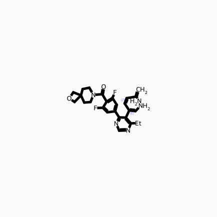 C=C(N)/C=C\C(=C/N)c1c(CC)ncnc1-c1cc(F)c(C(=O)N2CCC3(CC2)COC3)c(F)c1